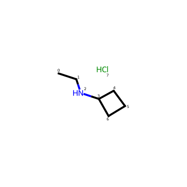 CCNC1CCC1.Cl